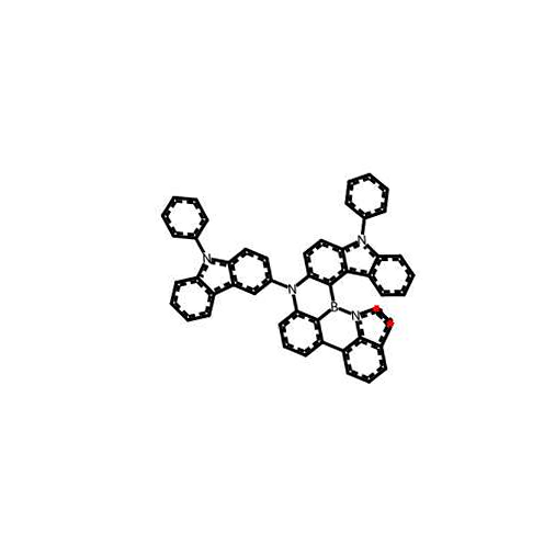 c1ccc(-n2c3ccccc3c3cc(N4c5cccc6c5B(c5c4ccc4c5c5ccccc5n4-c4ccccc4)n4c5ccccc5c5cccc-6c54)ccc32)cc1